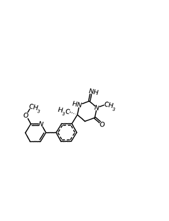 COC1=NC(c2cccc([C@]3(C)CC(=O)N(C)C(=N)N3)c2)=CCC1